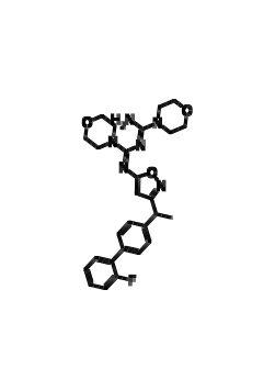 CC(c1ccc(-c2ccccc2F)cc1)c1cc(/N=C(\N=C(/N)N2CCOCC2)N2CCOCC2)on1